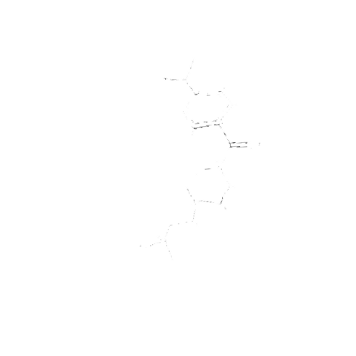 CC(C)c1ccc(C(=O)N2CCN(CCN(C)C)CC2)cc1